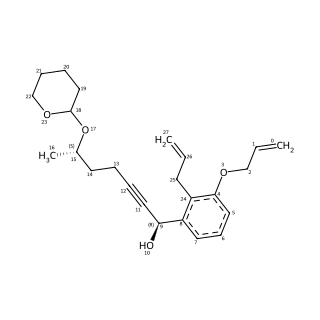 C=CCOc1cccc([C@@H](O)C#CCC[C@H](C)OC2CCCCO2)c1CC=C